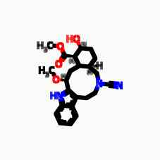 COC(=O)[C@@H]1C2C[C@@H](OC)c3[nH]c4ccccc4c3CCN(C#N)C[C@@H]2CC[C@@H]1O